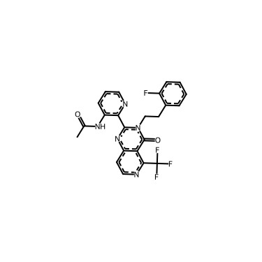 CC(=O)Nc1cccnc1-c1nc2ccnc(C(F)(F)F)c2c(=O)n1CCc1ccccc1F